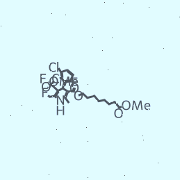 COC(=O)CCCCCCCOC(=O)C1=C(C)NC(CF)=C(C(=O)OC)C1c1c(F)ccc(Cl)c1C(F)(F)F